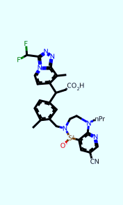 CCCN1CCN(Cc2cc(C(CC(=O)O)c3ccn4c(C(F)F)nnc4c3C)ccc2C)[S+]([O-])c2cc(C#N)cnc21